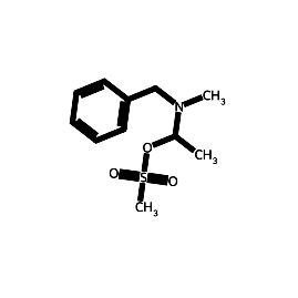 CC(OS(C)(=O)=O)N(C)Cc1ccccc1